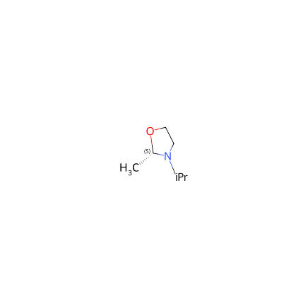 CC(C)N1CCO[C@H]1C